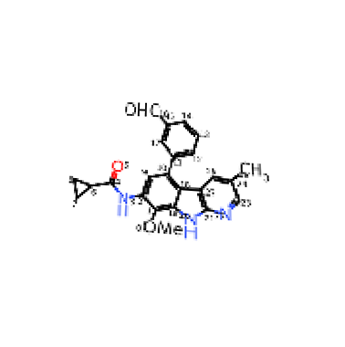 COc1c(NC(=O)C2CC2)cc(-c2cccc(C=O)c2)c2c1[nH]c1ncc(C)cc12